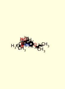 [2H]C([2H])([2H])C(O)([C@H](NC(=O)OC(C)(C)C)c1ccc(OC[C@H](C)CCC)cc1)C([2H])([2H])[2H]